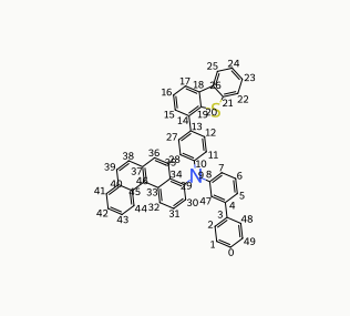 c1ccc(-c2cccc(N(c3ccc(-c4cccc5c4sc4ccccc45)cc3)c3cccc4c3ccc3ccc5ccccc5c34)c2)cc1